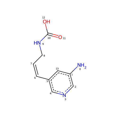 Nc1cncc(/C=C\CNC(=O)O)c1